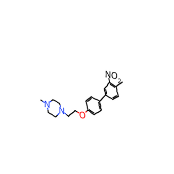 Cc1ccc(-c2ccc(OCCN3CCN(C)CC3)cc2)cc1[N+](=O)[O-]